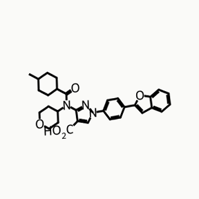 CC1CCC(C(=O)N(c2nn(-c3ccc(-c4cc5ccccc5o4)cc3)cc2C(=O)O)C2CCOCC2)CC1